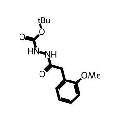 COc1ccccc1CC(=O)NNC(=O)OC(C)(C)C